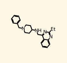 CCc1nc(CNC2CCN(Cc3ccccc3)CC2)c2ccccc2n1